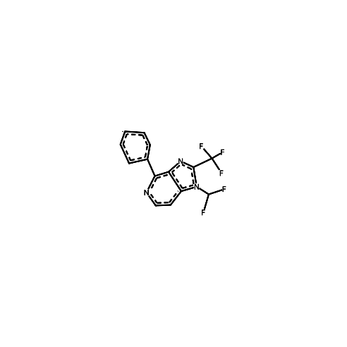 FC(F)n1c(C(F)(F)F)nc2c(-c3cc[c]cc3)nccc21